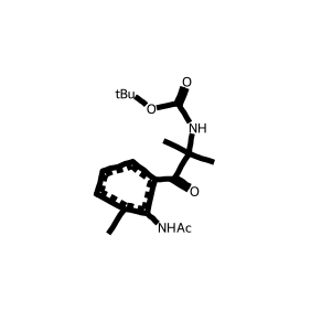 CC(=O)Nc1c(C)cccc1C(=O)C(C)(C)NC(=O)OC(C)(C)C